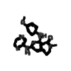 COc1ccc(Nc2nc(Nc3cnccn3)cc3ccn(C)c(=O)c23)cc1